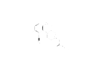 N#Cc1c(F)ccc(N)c1N1CCN(CC(N)=O)CC1